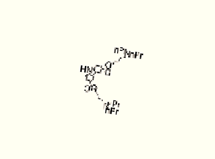 CCCN(CCC)CCCCCOC(=O)c1ccc2[nH]c3ccc(C(=O)OCCCCCN(CCC)CCC)cc3c2c1